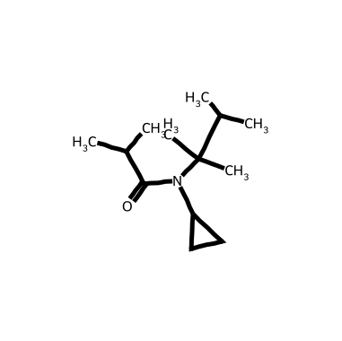 CC(C)C(=O)N(C1CC1)C(C)(C)C(C)C